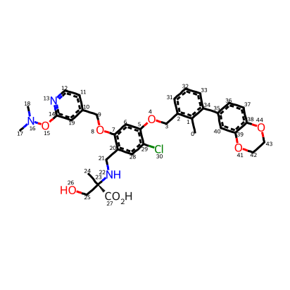 Cc1c(COc2cc(OCc3ccnc(ON(C)C)c3)c(CN[C@@](C)(CO)C(=O)O)cc2Cl)cccc1-c1ccc2c(c1)OCCO2